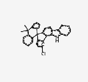 CC1(C)c2ccccc2C2(c3ccc(Cl)cc3-c3c2ccc2c3[nH]c3ccccc32)c2ccccc21